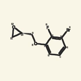 Fc1c(Br)cccc1OC[C@@H]1CO1